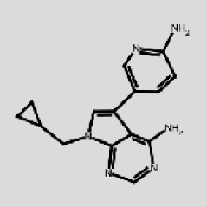 Nc1ccc(-c2cn(CC3CC3)c3ncnc(N)c23)cn1